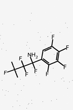 CC(C)(F)C(F)(F)C(N)(F)c1cc(F)c(F)c(F)c1F